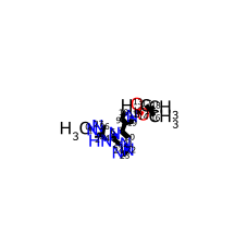 Cn1cc(Nc2nc(C3=CCN(C(=O)OC(C)(C)C)C3)cn3ncnc23)cn1